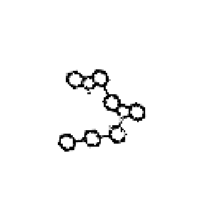 c1ccc(-c2ccc(-c3ccnc(-n4c5ccccc5c5cc(-c6cccc7c6sc6ccccc67)ccc54)n3)cc2)cc1